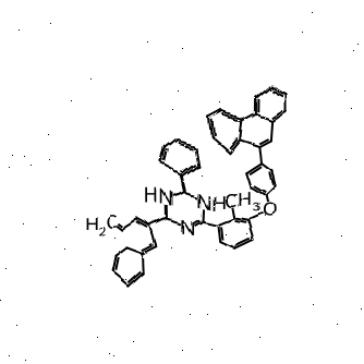 C=C/C=C(\C=C1\C=CC=CC1)C1N=C(c2cccc(Oc3ccc(-c4cc5ccccc5c5ccccc45)cc3)c2C)NC(c2ccccc2)N1